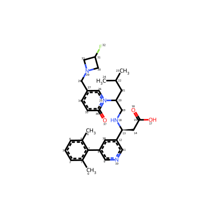 Cc1cccc(C)c1-c1cncc([C@H](CC(=O)O)NCC(CC(C)C)n2cc(CN3CC(F)C3)ccc2=O)c1